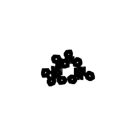 c1ccc(-c2nc(-c3ccccc3)nc(-c3cccc(-n4c5ccccc5c5c6c7ccccc7n(-c7nc(-c8ccccc8)nc(-c8ccccc8-c8ccccc8)n7)c6ccc54)c3)n2)cc1